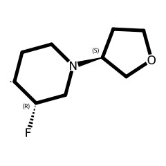 F[C@@H]1[CH]CCN([C@H]2CCOC2)C1